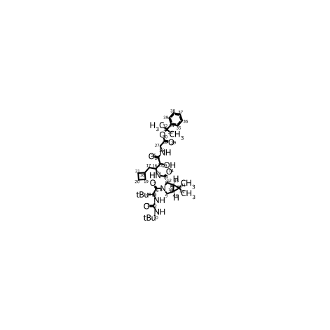 CC(C)(C)NC(=O)N[C@H](C(=O)N1C[C@H]2[C@@H]([C@H]1C(=O)NC(CC1CCC1)C(O)C(=O)NCC(=O)OC(C)(C)c1ccccc1)C2(C)C)C(C)(C)C